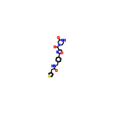 O=C(Cc1ccsc1)NCc1ccc(-c2nc(C(=O)N3CCNC(=O)C3)co2)cc1